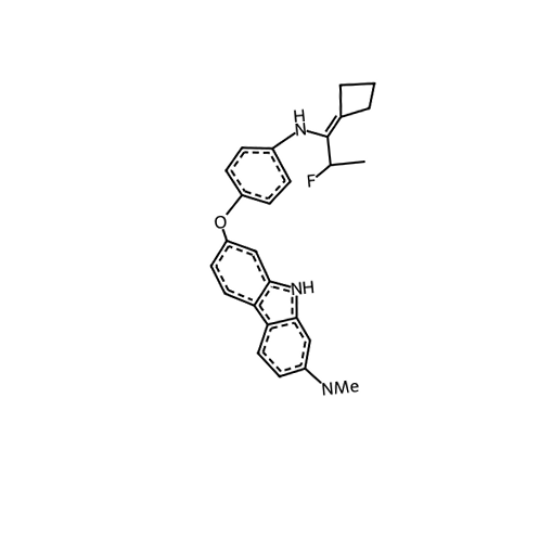 CNc1ccc2c(c1)[nH]c1cc(Oc3ccc(NC(=C4CCC4)C(C)F)cc3)ccc12